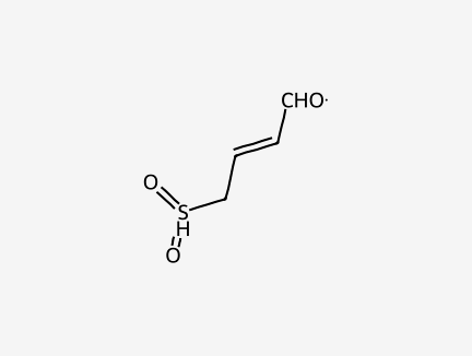 O=[C]C=CC[SH](=O)=O